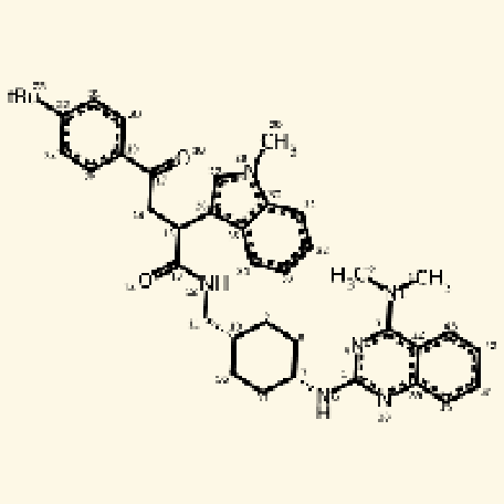 CN(C)c1nc(N[C@H]2CC[C@@H](CNC(=O)C(CC(=O)c3ccc(C(C)(C)C)cc3)c3cn(C)c4ccccc34)CC2)nc2ccccc12